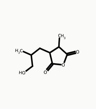 CC(CO)CC1C(=O)OC(=O)C1C